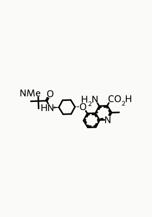 CNC(C)(C)C(=O)N[C@H]1CC[C@H](Oc2cccc3nc(C)c(C(=O)O)c(N)c23)CC1